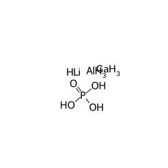 O=P(O)(O)O.[AlH3].[GaH3].[LiH]